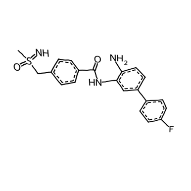 CS(=N)(=O)Cc1ccc(C(=O)Nc2cc(-c3ccc(F)cc3)ccc2N)cc1